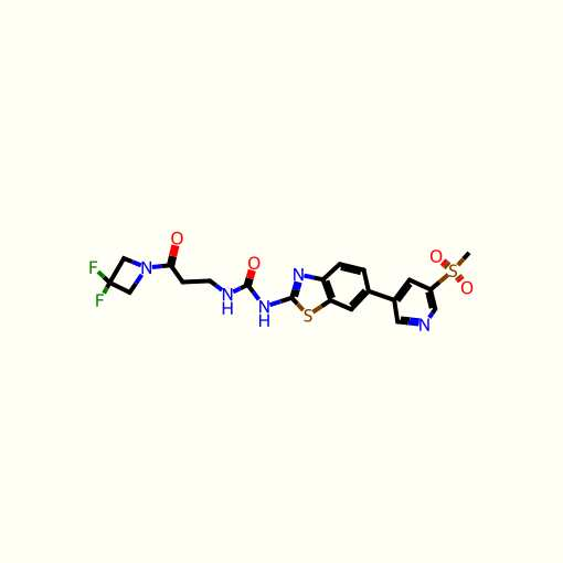 CS(=O)(=O)c1cncc(-c2ccc3nc(NC(=O)NCCC(=O)N4CC(F)(F)C4)sc3c2)c1